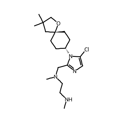 CNCCN(C)Cc1ncc(Cl)n1[C@H]1CC[C@@]2(CC1)CC(C)(C)CO2